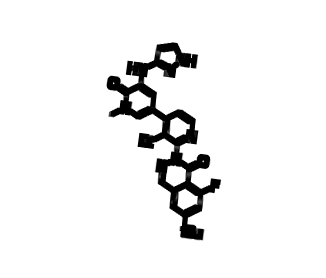 CCc1c(-c2cc(Nc3cc[nH]n3)c(=O)n(C)c2)ccnc1-n1ncc2cc(C(C)(C)C)cc(F)c2c1=O